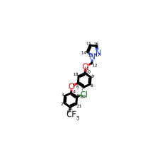 FC(F)(F)c1ccc(Oc2cccc(OCn3cccn3)c2)c(Cl)c1